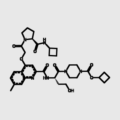 Cc1ccc2c(OCC(=O)N3CCC[C@H]3C(=O)NC3CCC3)cc(C(=O)N[C@@H](CCO)C(=O)N3CCN(C(=O)OC4CCC4)CC3)nc2c1